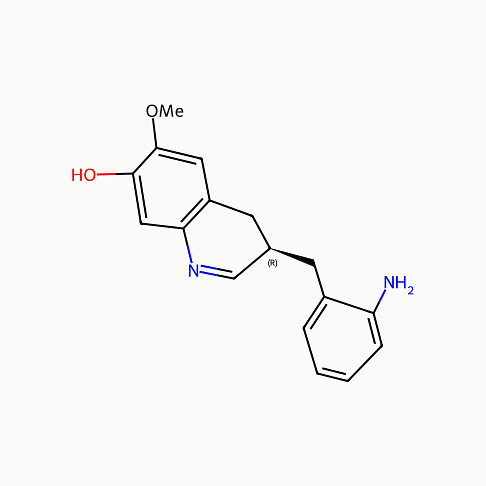 COc1cc2c(cc1O)N=C[C@H](Cc1ccccc1N)C2